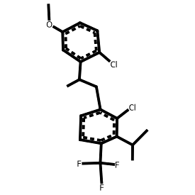 COc1ccc(Cl)c(C(C)Cc2ccc(C(F)(F)F)c(C(C)C)c2Cl)c1